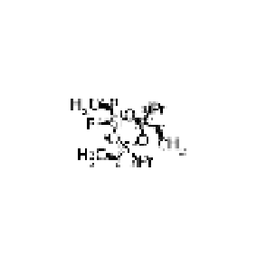 C=C[Si]1(C(C)C)O[Si](C=C)(C(C)C)O[Si](C=C)(C(C)C)O1